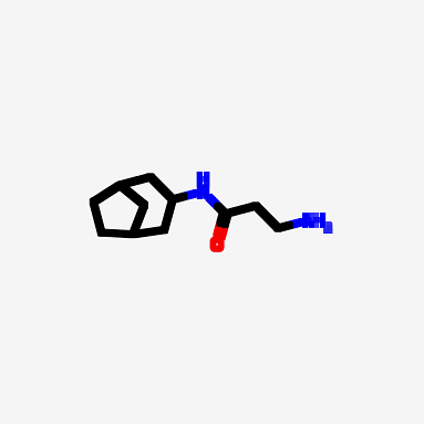 NCCC(=O)NC1CC2CCC(C2)C1